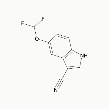 N#Cc1c[nH]c2ccc(OC(F)F)cc12